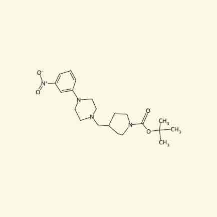 CC(C)(C)OC(=O)N1CCC(CN2CCN(c3cccc([N+](=O)[O-])c3)CC2)CC1